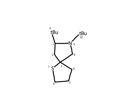 CC(C)(C)C1CC2(CCCS2)CN1C(C)(C)C